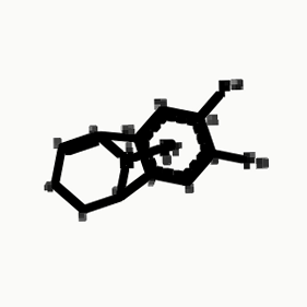 CC(C)N1C2=CCCC1c1cc(F)c(F)cc12